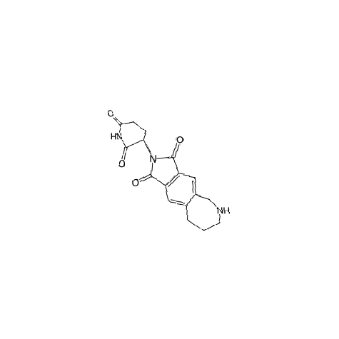 O=C1CCC(N2C(=O)c3cc4c(cc3C2=O)CNCCC4)C(=O)N1